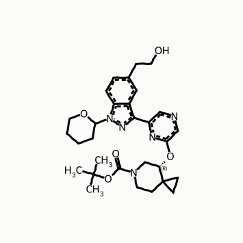 CC(C)(C)OC(=O)N1CCC2(CC2)[C@@H](Oc2cncc(-c3nn(C4CCCCO4)c4ccc(CCO)cc34)n2)C1